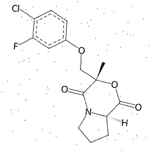 C[C@@]1(COc2ccc(Cl)c(F)c2)OC(=O)[C@H]2CCCN2C1=O